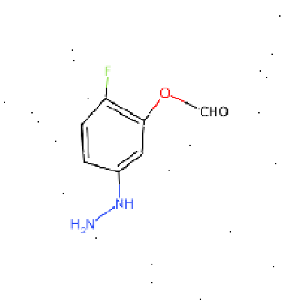 NNc1ccc(F)c(OC=O)c1